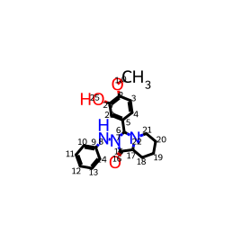 COc1ccc(C2N(Nc3ccccc3)C(=O)C3CCCCN32)cc1O